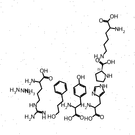 N.N.N.N=C(N)NCCCC(N)C(=O)O.NC(Cc1c[nH]cn1)C(=O)O.NC(Cc1ccc(O)cc1)C(=O)O.NCCCCC(N)C(=O)O.O=C(O)[C@@H]1CCCN1.OCCCc1ccccc1